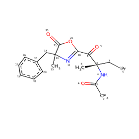 CC(C)C[C@](C)(NC(=O)C(F)(F)F)C(=O)C1=NC(C)(Cc2ccccc2)C(=O)O1